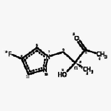 CC(=O)[C@@](C)(O)Cn1cc(F)cn1